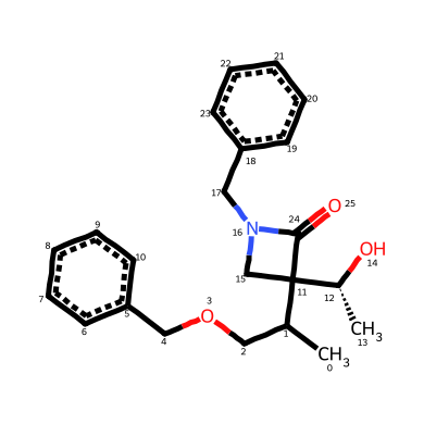 CC(COCc1ccccc1)C1([C@@H](C)O)CN(Cc2ccccc2)C1=O